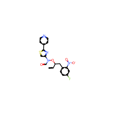 C=CC(Cc1ccc(F)cc1[N+](=O)[O-])ON(C=O)c1csc(-c2ccncc2)n1